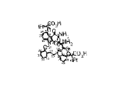 Cc1c(C(=O)C(N)=O)c2c(OC(C(=O)O)C(C)C)cccc2n1COc1ccccc1CCC1C=C(C(=O)C(N)=O)c2c(OC(C(=O)O)C(C)C)cccc21